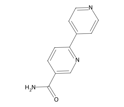 NC(=O)c1ccc(-c2ccncc2)nc1